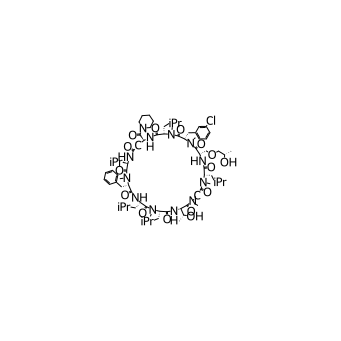 CC(C)C[C@@H]1NC(=O)[C@H](Cc2ccccc2)N(C)C(=O)[C@@H](C(C)C)NC(=O)C[C@@H](C(=O)N2CCCCC2)NC(=O)[C@H](CC(C)C)N(C)C(=O)[C@H](Cc2cccc(Cl)c2)N(C)C(=O)[C@H](COC[C@H](C)O)NC(=O)[C@H](CC(C)C)N(C)C(=O)CN(C)C(=O)[C@H]([C@@H](C)O)NC(=O)[C@H](CC(C)C)N(C)C1=O